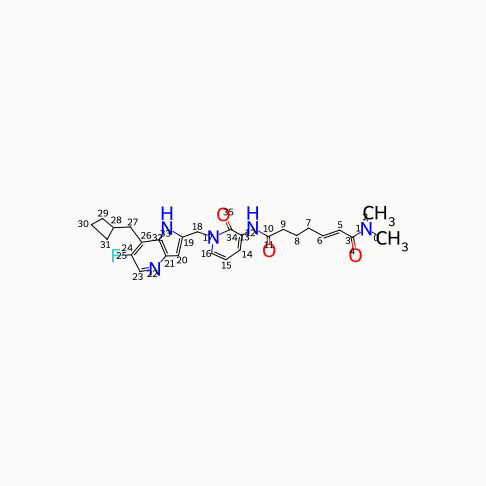 CN(C)C(=O)/C=C/CCCC(=O)Nc1cccn(Cc2cc3ncc(F)c(CC4CCC4)c3[nH]2)c1=O